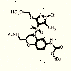 CCn1nc(OCC(=O)O)c(S(=O)(=O)N2CC(CNC(C)=O)Oc3ccc(NC(=O)OC(C)(C)C)cc32)c1C